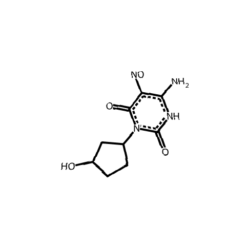 Nc1[nH]c(=O)n(C2CCC(O)C2)c(=O)c1N=O